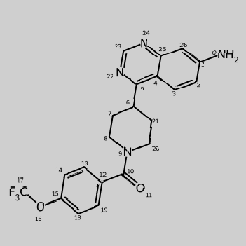 Nc1ccc2c(C3CCN(C(=O)c4ccc(OC(F)(F)F)cc4)CC3)ncnc2c1